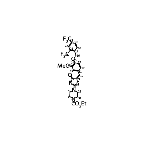 CCOC(=O)N1CCN(C2=NC(=O)/C(=C\c3ccc(OCc4ccc(C(F)(F)F)cc4C(F)(F)F)c(OC)c3)S2)CC1